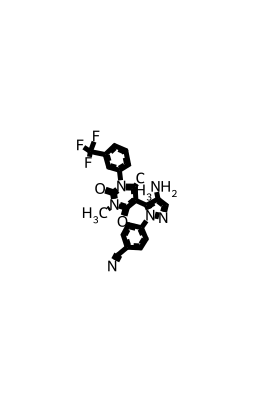 Cc1c(-c2c(N)cnn2-c2ccc(C#N)cc2)c(=O)n(C)c(=O)n1-c1cccc(C(F)(F)F)c1